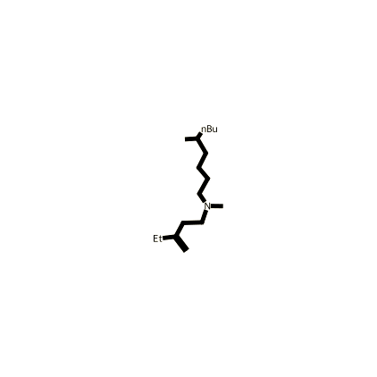 C=C(CC)CCN(C)CCCCC(C)CCCC